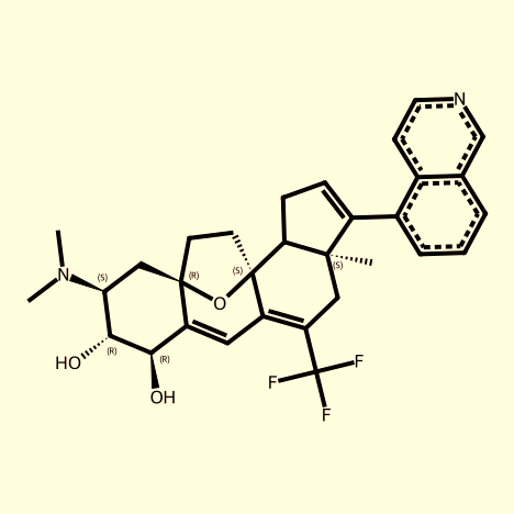 CN(C)[C@H]1C[C@@]23CC[C@@]4(O2)C(=C(C(F)(F)F)C[C@]2(C)C(c5cccc6cnccc56)=CCC24)C=C3[C@@H](O)[C@@H]1O